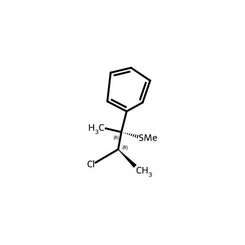 CS[C@](C)(c1ccccc1)[C@@H](C)Cl